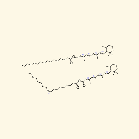 CCCCCCCC/C=C\CCCCCCCC(=O)OC(=O)/C=C(C)/C=C/C=C(C)/C=C/C1=C(C)CCCC1(C)C.CCCCCCCCCCCCCCCC(=O)OC/C=C(C)/C=C/C=C(C)/C=C/C1=C(C)CCCC1(C)C